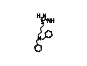 N=C(N)SCCCCN(Cc1ccccc1)Cc1ccccc1